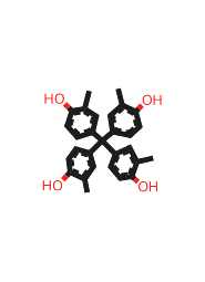 Cc1cc(C(c2ccc(O)c(C)c2)(c2ccc(O)c(C)c2)c2ccc(O)c(C)c2)ccc1O